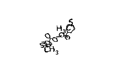 CC12CCC(C(=O)OCCOC(=O)C3CCC4(C)S[C@H]4C3)CC1S2